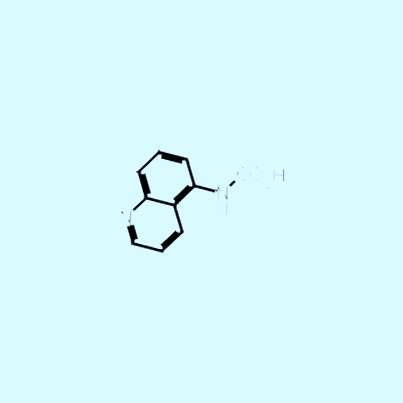 O=C(O)Nc1cccc2ncccc12